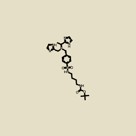 CC(c1ncc[nH]1)N(Cc1ccc(S(=O)(=O)NCCCCNC(=O)OC(C)(C)C)cc1)Cc1ncc[nH]1